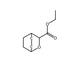 CCOC(=O)C1OC2CCC1CC2